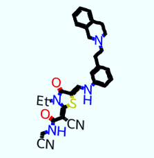 CCn1c(=C(C#N)C(=O)NCC#N)sc(=CNc2cccc(CCN3CCc4ccccc4C3)c2)c1=O